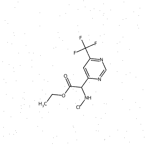 CCOC(=O)C(NCl)c1cc(C(F)(F)F)ncn1